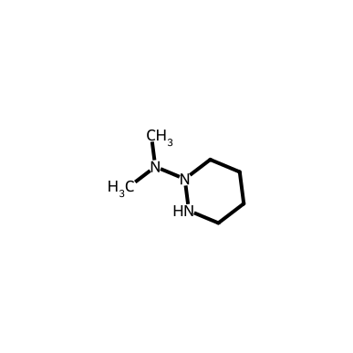 CN(C)N1CCCCN1